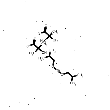 CC(C)(O)C(=O)[O-].CC(C)(O)C(=O)[O-].CC(C)C[O][Ti+2][O]CC(C)C